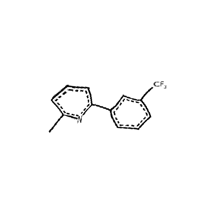 Cc1cccc(-c2cccc(C(F)(F)F)c2)n1